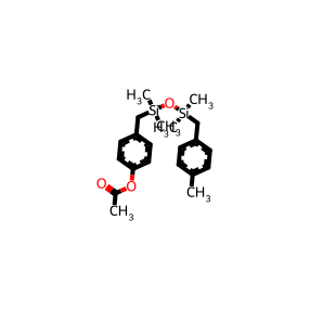 CC(=O)Oc1ccc(C[Si](C)(C)O[Si](C)(C)Cc2ccc(C)cc2)cc1